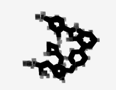 C/C(=C\c1cnc(CN2CCC(c3cccc4c3OC(c3ccc(C)cc3F)O4)CC2)n1CC1CCO1)C(=O)O